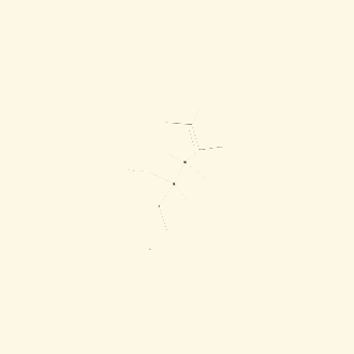 COC(C)(CCCl)C(F)(F)C(F)=C(F)F